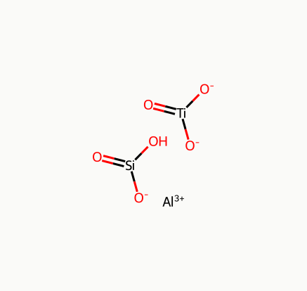 O=[Si]([O-])O.[Al+3].[O]=[Ti]([O-])[O-]